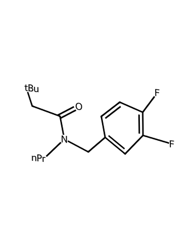 CCCN(Cc1ccc(F)c(F)c1)C(=O)CC(C)(C)C